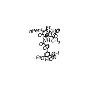 CCCCC[C@@H](C(=O)NCNC(=O)c1ccc(-c2cc(OCC)cc(P(=O)(O)O)c2)o1)[C@@H](CC)N(C=O)OCc1oc(=O)oc1C